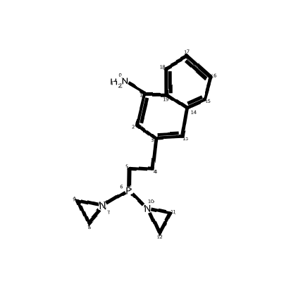 Nc1cc(CCP(N2CC2)N2CC2)cc2ccccc12